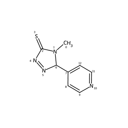 CN1C(=S)N=NC1c1ccncc1